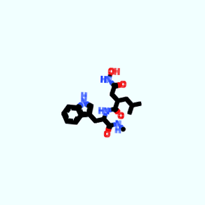 CNC(=O)C(Cc1c[nH]c2ccccc12)NC(=O)C(CC(=O)NO)CC(C)C